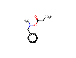 CN(Cc1ccccc1)OC(=O)CC(=O)O